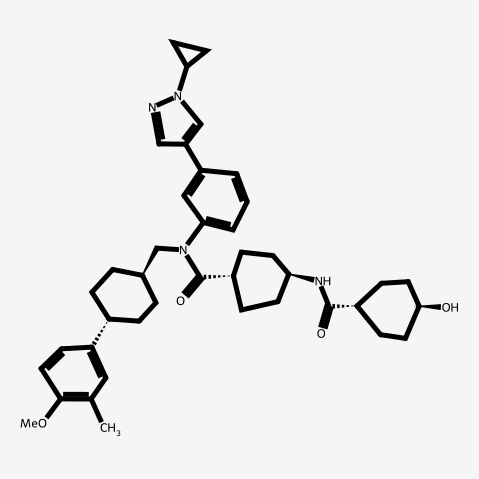 COc1ccc([C@H]2CC[C@H](CN(c3cccc(-c4cnn(C5CC5)c4)c3)C(=O)[C@H]3CC[C@H](NC(=O)[C@H]4CC[C@H](O)CC4)CC3)CC2)cc1C